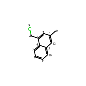 Cc1cc(CCl)c2ccccc2c1